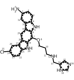 Nc1ccc2[nH]c3c(OCCCNCc4cnc[nH]4)c4[nH]c5ccc(Cl)cc5c4cc3c2c1